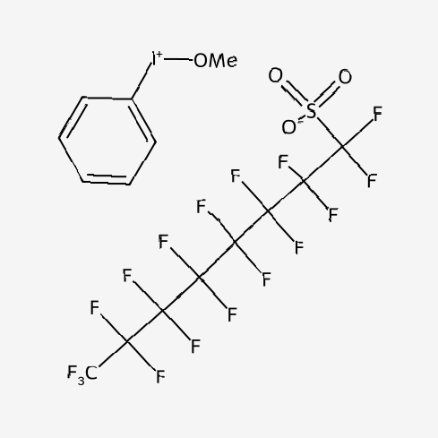 CO[I+]c1ccccc1.O=S(=O)([O-])C(F)(F)C(F)(F)C(F)(F)C(F)(F)C(F)(F)C(F)(F)C(F)(F)C(F)(F)F